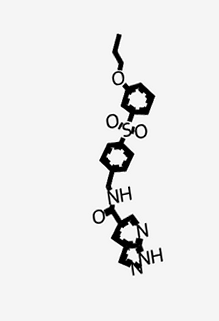 CCCOc1cccc(S(=O)(=O)c2ccc(CNC(=O)c3cnc4[nH]ncc4c3)cc2)c1